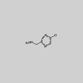 CC(=O)NCc1cnc(Cl)cn1